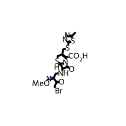 CO/N=C(/CN[C@@H]1C(=O)N2C(C(=O)O)=C(CSc3nnc(C)s3)CS[C@H]12)C(=O)CBr